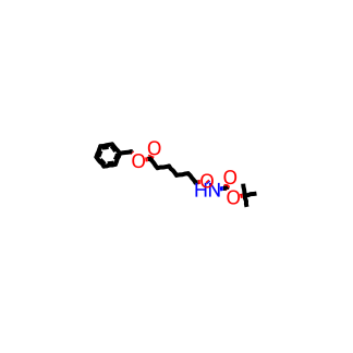 CC(C)(C)OC(=O)NOCCCCCC(=O)OCc1ccccc1